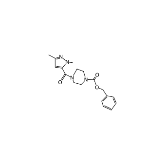 Cc1cc(C(=O)N2CCN(C(=O)OCc3ccccc3)CC2)n(C)n1